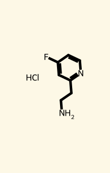 Cl.NCCc1cc(F)ccn1